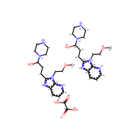 CCOCCn1c(CCC(O)N2CCNCC2)nc2cccnc21.CCOCCn1c(CCC(O)N2CCNCC2)nc2cccnc21.O=C(O)C(=O)O